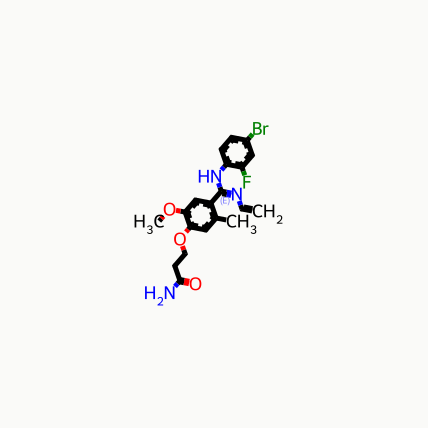 C=C/N=C(/Nc1ccc(Br)cc1F)c1cc(OC)c(OCCC(N)=O)cc1C